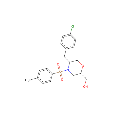 Cc1ccc(S(=O)(=O)N2C[C@@H](CO)OCC2Cc2ccc(Cl)cc2)cc1